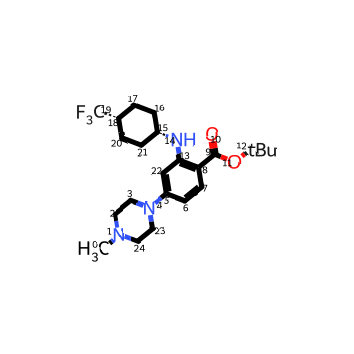 CN1CCN(c2ccc(C(=O)OC(C)(C)C)c(N[C@H]3CC[C@@H](C(F)(F)F)CC3)c2)CC1